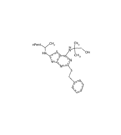 CCCCCC(C)Nc1nc2nc(SCc3ccccc3)nc(NC(C)(C)CO)c2s1